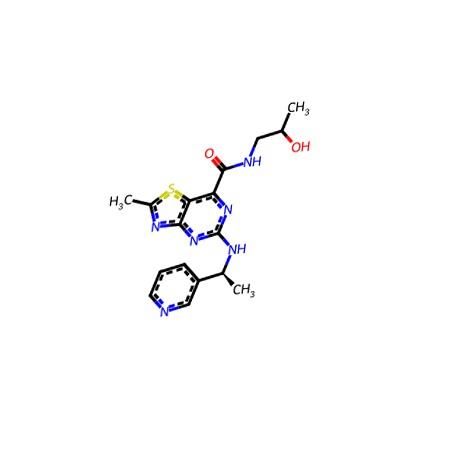 Cc1nc2nc(N[C@@H](C)c3cccnc3)nc(C(=O)NCC(C)O)c2s1